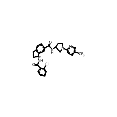 O=C(NC1CCN(c2ccc(C(F)(F)F)cn2)C1)c1ccc2c(c1)[C@H](NC(=O)c1ccccc1Cl)CC2